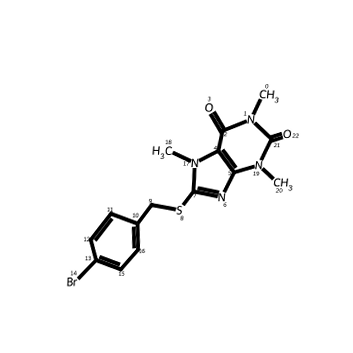 Cn1c(=O)c2c(nc(SCc3ccc(Br)cc3)n2C)n(C)c1=O